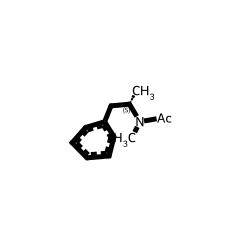 CC(=O)N(C)[C@@H](C)Cc1ccccc1